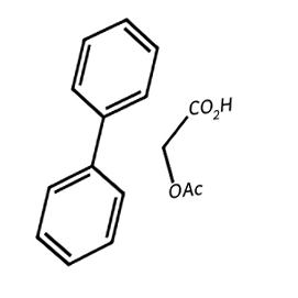 CC(=O)OCC(=O)O.c1ccc(-c2ccccc2)cc1